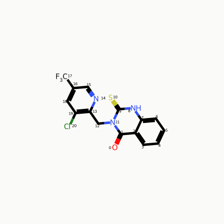 O=c1c2ccccc2[nH]c(=S)n1Cc1ncc(C(F)(F)F)cc1Cl